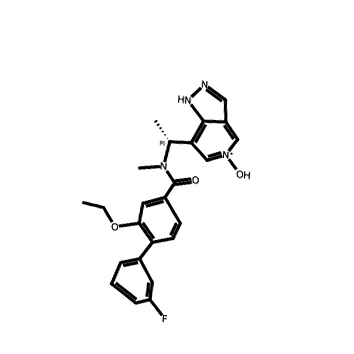 CCOc1cc(C(=O)N(C)[C@H](C)c2c[n+](O)cc3cn[nH]c23)ccc1-c1cccc(F)c1